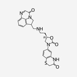 O=C1CSc2ccc(N3C[C@@H](CCNCC4Cn5c(=O)cnc6cccc4c65)OC3=O)cc2N1